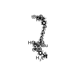 Cc1ncsc1-c1ccc(CNC(=O)[C@@H]2C[C@@H](O)CN2C(=O)[C@@H](NC(=O)COCCCOCCCOc2ccc(C3(NC(=O)OC(C)(C)C)CC3)cc2)C(C)(C)C)cc1